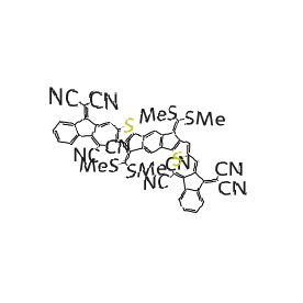 CSC(SC)=C1c2cc3c(cc2-c2sc(C=C4C(=C(C#N)C#N)c5ccccc5C4=C(C#N)C#N)cc21)C(=C(SC)SC)c1cc(C=C2C(=C(C#N)C#N)c4ccccc4C2=C(C#N)C#N)sc1-3